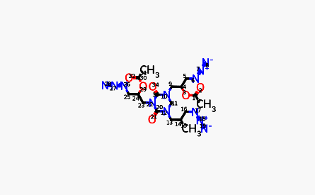 CC(=O)OC(CN=[N+]=[N-])CN1CN(CC(C)CN=[N+]=[N-])C(=O)N(CC(CN=[N+]=[N-])OC(C)=O)C1=O